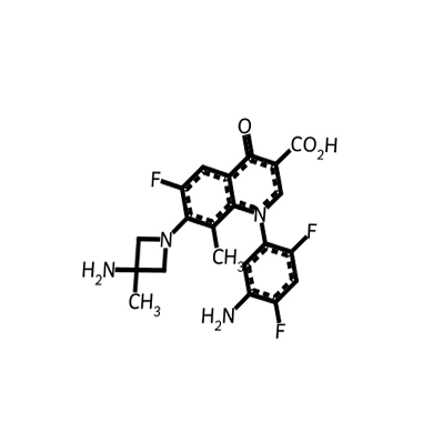 Cc1c(N2CC(C)(N)C2)c(F)cc2c(=O)c(C(=O)O)cn(-c3cc(N)c(F)cc3F)c12